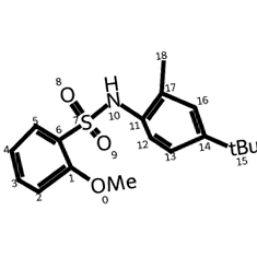 COc1ccccc1S(=O)(=O)Nc1ccc(C(C)(C)C)cc1C